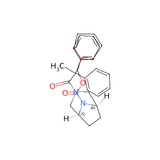 CC(C(=O)N1C[C@H]2CC[C@@H](C1)N2C(=O)OCc1ccccc1)(c1ccccc1)c1ccccc1